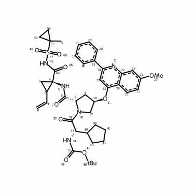 C=CC1C[C@]1(NC(=O)[C@@H]1C[C@@H](Oc2cc(-c3ccccc3)nc3cc(OC)ccc23)CN1C(=O)[C@@H](NC(=O)OC(C)(C)C)C1CCCC1)C(=O)NS(=O)(=O)C1(C)CC1